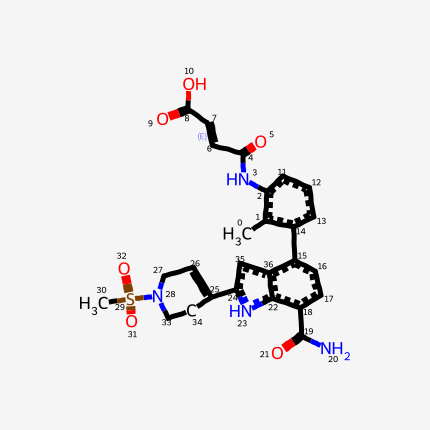 Cc1c(NC(=O)/C=C/C(=O)O)cccc1-c1ccc(C(N)=O)c2[nH]c(C3=CCN(S(C)(=O)=O)CC3)cc12